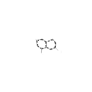 Oc1cc(O)c2cc(Cl)ccc2c1